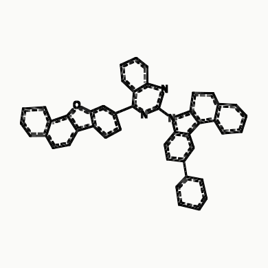 c1ccc(-c2ccc3c(c2)c2c4ccccc4ccc2n3-c2nc(-c3ccc4c(c3)oc3c5ccccc5ccc43)c3ccccc3n2)cc1